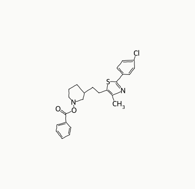 Cc1nc(-c2ccc(Cl)cc2)sc1CCC1CCCN(OC(=O)c2ccccc2)C1